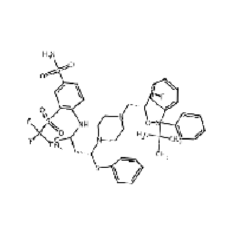 CC(C[C@@H](Sc1ccccc1)N1CCN(C[C@H](CF)O[Si](c2ccccc2)(c2ccccc2)C(C)(C)C)CC1)Nc1ccc(S(N)(=O)=O)cc1S(=O)(=O)C(F)(F)F